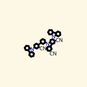 N#Cc1ccc2c(c1)c1cc(C#N)c(-n3c4ccccc4c4ccccc43)cc1n2-c1cccc(-c2ccc(-n3c4ccccc4c4ccccc43)cc2C#N)c1